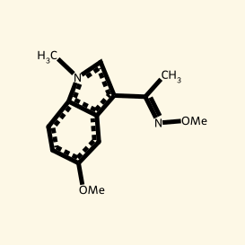 CON=C(C)c1cn(C)c2ccc(OC)cc12